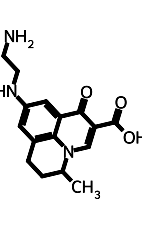 CC1CCc2cc(NCCN)cc3c(=O)c(C(=O)O)cn1c23